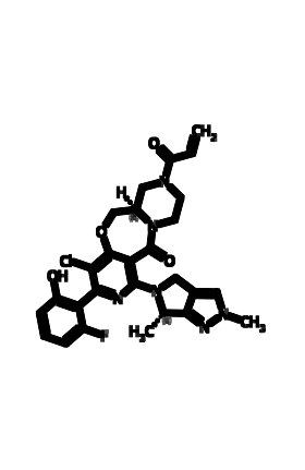 C=CC(=O)N1CCN2C(=O)c3c(N4Cc5cn(C)nc5[C@@H]4C)nc(-c4c(O)cccc4F)c(Cl)c3OC[C@H]2C1